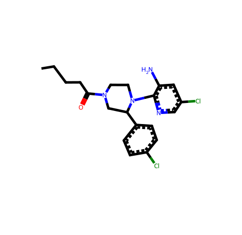 CCCCC(=O)N1CCN(c2ncc(Cl)cc2N)C(c2ccc(Cl)cc2)C1